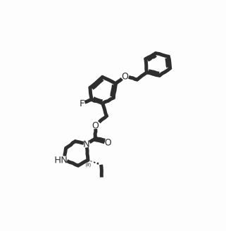 CC[C@@H]1CNCCN1C(=O)OCc1cc(OCc2ccccc2)ccc1F